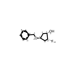 O[C@H]1C[C@H](OCc2ccccc2)C[C@H]1F